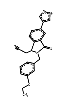 CCOc1cccc(CN2C(=O)c3cc(-c4cn[nH]c4)ccc3C2CC#N)c1